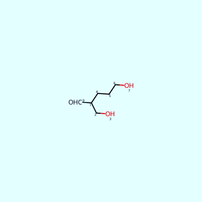 O=CC(CO)CCCO